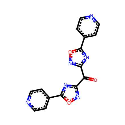 O=C(c1noc(-c2ccncc2)n1)c1noc(-c2ccncc2)n1